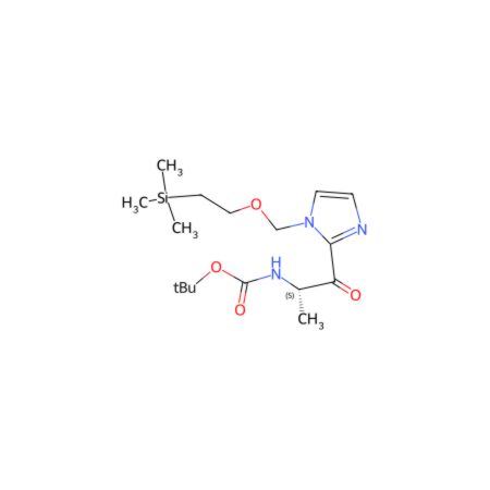 C[C@H](NC(=O)OC(C)(C)C)C(=O)c1nccn1COCC[Si](C)(C)C